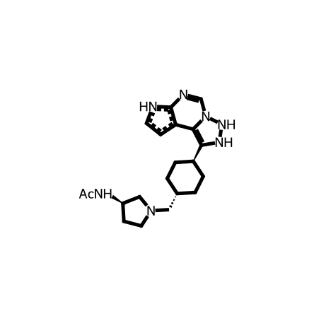 CC(=O)N[C@@H]1CCN(C[C@H]2CC[C@H](C3=C4c5cc[nH]c5N=CN4NN3)CC2)C1